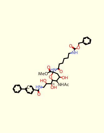 COC(=O)C1(NC(=O)CCCCCNC(=O)OCc2ccccc2)CC(O)C(NC(C)=O)C([C@@H](O)C(O)CNC(=O)c2ccc(-c3ccccc3)cc2)O1